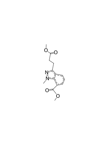 COC(=O)CCc1nn(C)c2c(C(=O)OC)cccc12